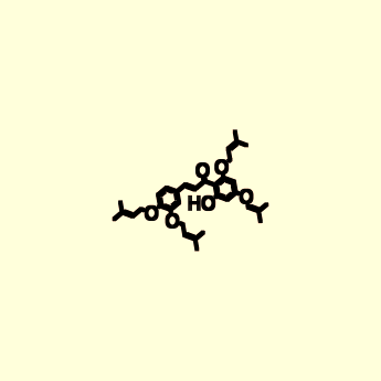 CC(C)=CCOc1ccc(/C=C/C(=O)c2c(O)cc(OC=C(C)C)cc2OCC=C(C)C)cc1OCC=C(C)C